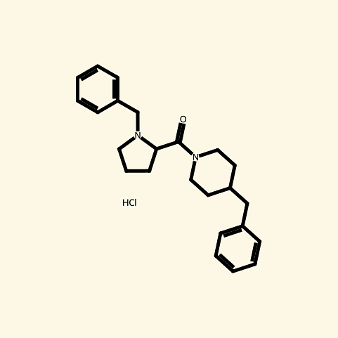 Cl.O=C(C1CCCN1Cc1ccccc1)N1CCC(Cc2ccccc2)CC1